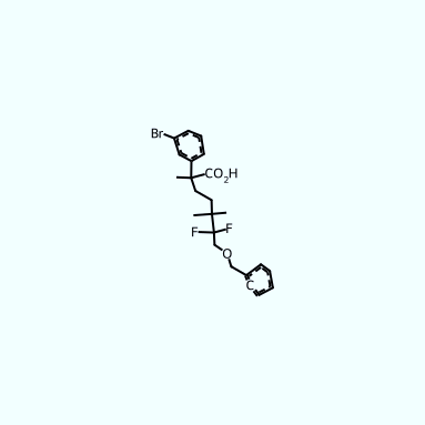 CC(CCC(C)(C)C(F)(F)COCc1ccccc1)(C(=O)O)c1cccc(Br)c1